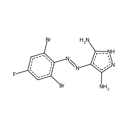 Nc1n[nH]c(N)c1N=Nc1c(Br)cc(F)cc1Br